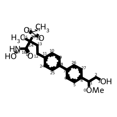 COC(CO)c1ccc(-c2ccc(CCC(C)(C(=O)NO)S(C)(=O)=O)cc2)cc1